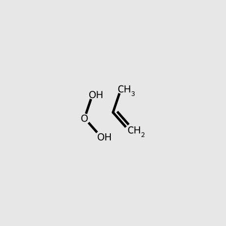 C=CC.OOO